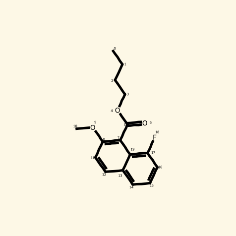 CCCCOC(=O)c1c(OC)ccc2cccc(F)c12